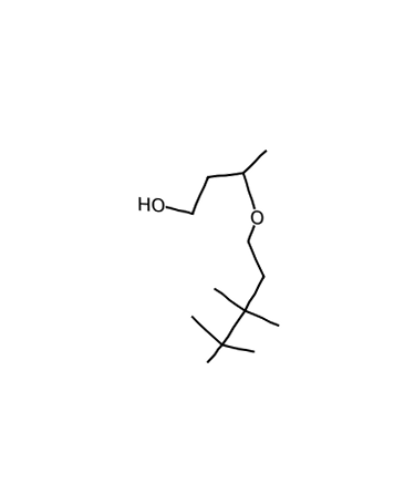 CC(CCO)OCCC(C)(C)C(C)(C)C